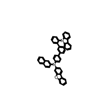 c1cc(-c2ccc(N(c3ccc4ccccc4c3)c3ccc4c(c3)oc3ccccc34)cc2)cc(-c2ccccc2-n2c3ccccc3c3ccccc32)c1